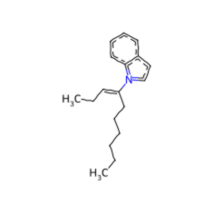 CCC=C(CCCCCC)n1ccc2ccccc21